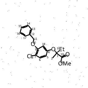 CC[C@@](C)(Oc1ccc(Cl)c(OCc2ccccc2)c1)C(=O)OC